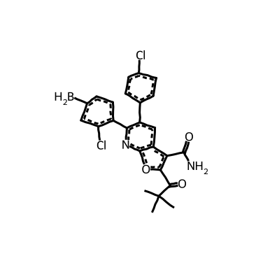 Bc1ccc(-c2nc3oc(C(=O)C(C)(C)C)c(C(N)=O)c3cc2-c2ccc(Cl)cc2)c(Cl)c1